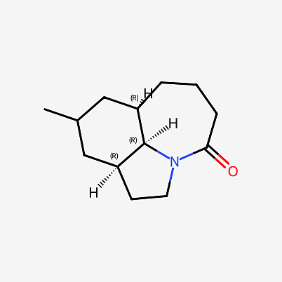 CC1C[C@H]2CCCC(=O)N3CC[C@@H](C1)[C@@H]23